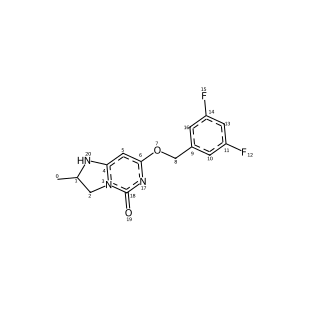 CC1Cn2c(cc(OCc3cc(F)cc(F)c3)nc2=O)N1